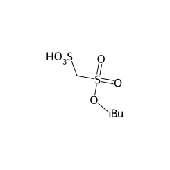 CCC(C)OS(=O)(=O)CS(=O)(=O)O